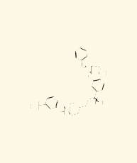 O=C(CCC1CCN(Cc2cccc(Cl)c2)CC1)c1ccc2c(c1)CN(Cc1ccccc1)CCO2